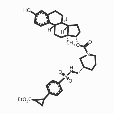 CCOC(=O)C1CC1c1ccc(S(=O)(=O)NC[C@H]2CCCN(C(=O)O[C@H]3CC[C@H]4[C@@H]5CCc6cc(O)ccc6[C@H]5CC[C@]34C)C2)cc1